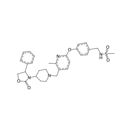 Cc1nc(Oc2ccc(CNS(C)(=O)=O)cc2)ccc1CN1CCC(N2C(=O)OCC2c2ccccc2)CC1